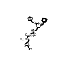 CC(C)C1=NC(CN(C)C(=O)NCC(=O)NCCC[C@@H](Cc2ccccc2)NC(=O)OCc2cncs2)CS1